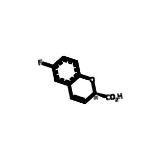 O=C(O)[C@H]1C=Cc2cc(F)ccc2O1